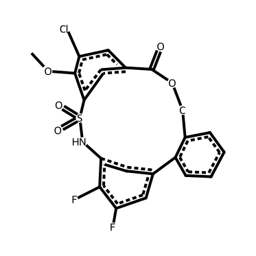 COc1c(Cl)cc2cc1S(=O)(=O)Nc1cc(cc(F)c1F)-c1ccccc1COC2=O